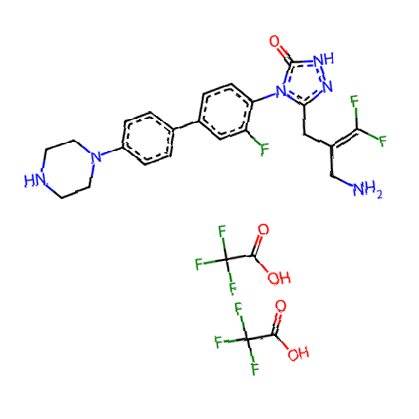 NCC(Cc1n[nH]c(=O)n1-c1ccc(-c2ccc(N3CCNCC3)cc2)cc1F)=C(F)F.O=C(O)C(F)(F)F.O=C(O)C(F)(F)F